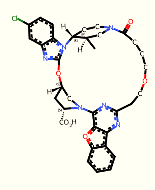 C[C@@H]1CN2CC[C@H]1n1c(nc3cc(Cl)ccc31)O[C@H]1C[C@@H](C(=O)O)N(C1)c1nc(nc3c1oc1ccccc13)CCOCCCC2=O